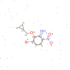 Nc1c([N+](=O)[O-])ccc(Br)c1OCC1CC1